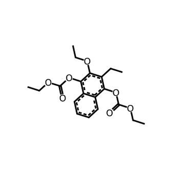 CCOC(=O)Oc1c(CC)c(OCC)c(OC(=O)OCC)c2ccccc12